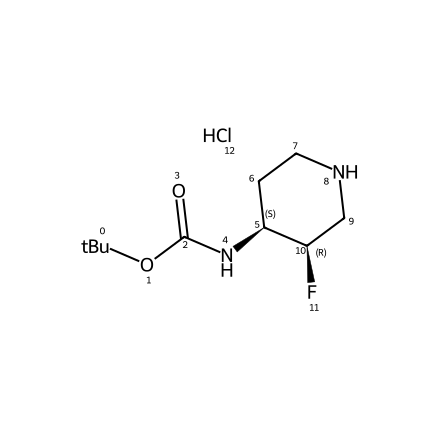 CC(C)(C)OC(=O)N[C@H]1CCNC[C@H]1F.Cl